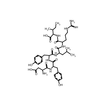 CCC(C)C(NC(=O)C(CCCNC(=N)N)NC(=O)C(CC(C)C)NC(=O)C(Cc1ccc(O)cc1)NC(=O)C(Cc1ccc(O)cc1)NC(=O)C(N)CC(=O)O)C(=O)O